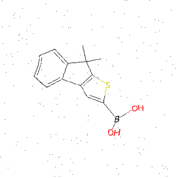 CC1(C)c2ccccc2-c2cc(B(O)O)sc21